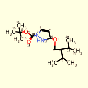 CC(C)C(COC1C=CN(C(=O)OC(C)(C)C)N1)C(C)C